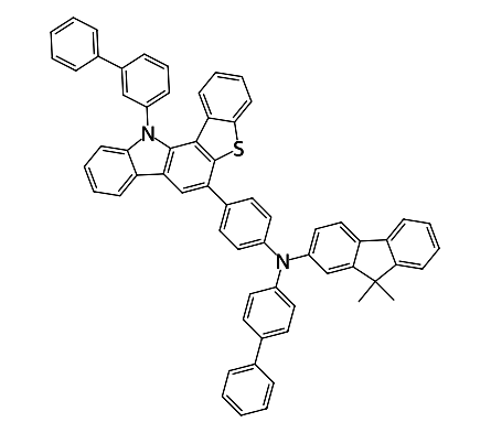 CC1(C)c2ccccc2-c2ccc(N(c3ccc(-c4ccccc4)cc3)c3ccc(-c4cc5c6ccccc6n(-c6cccc(-c7ccccc7)c6)c5c5c4sc4ccccc45)cc3)cc21